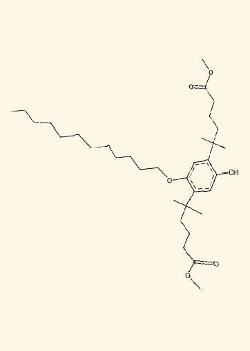 CCCCCCCCCCCCOc1cc(C(C)(C)CCCC(=O)OC)c(O)cc1C(C)(C)CCCC(=O)OC